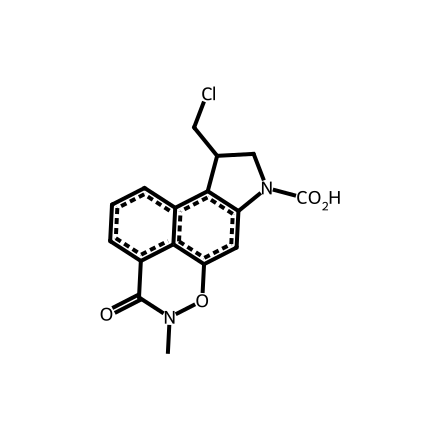 CN1Oc2cc3c(c4cccc(c24)C1=O)C(CCl)CN3C(=O)O